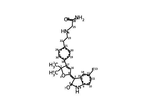 CC1(C)OC(=C2C(=O)Nc3ccc(F)cc32)C=C1c1ccc(CCNCC(N)=O)cc1